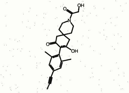 CC#Cc1cc(C)c(C2=C(O)CC3(CCN(C(=O)CO)CC3)CC2=O)c(C)c1